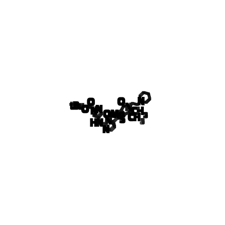 COc1nn(C(=O)OC(C)(C)C)cc1Nc1nccc(-c2cc3c(s2)C(C)(C)N(CCN2CCCCC2)C3=O)n1